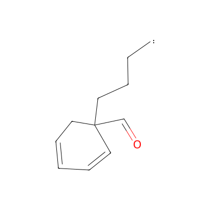 [CH]CCCC1(C=O)C=CC=CC1